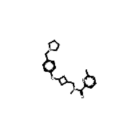 Cc1cccc(C(=O)N(C)CC2CC(Oc3ccc(CN4CCCC4)cc3)C2)n1